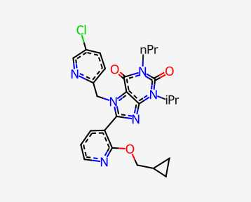 CCCn1c(=O)c2c(nc(-c3cccnc3OCC3CC3)n2Cc2ccc(Cl)cn2)n(C(C)C)c1=O